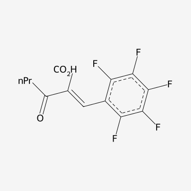 CCCC(=O)C(=Cc1c(F)c(F)c(F)c(F)c1F)C(=O)O